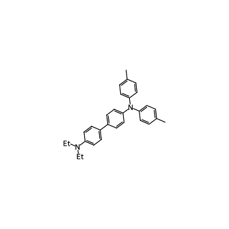 CCN(CC)c1ccc(-c2ccc(N(c3ccc(C)cc3)c3ccc(C)cc3)cc2)cc1